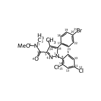 CON(C)C(=O)c1nn(-c2ccc(Cl)cc2Cl)c(-c2ccc(Br)cc2)c1C